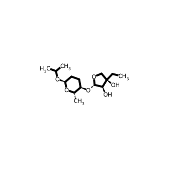 CC[C@@]1(O)CO[C@@H](O[C@@H]2CC[C@H](OC(C)C)O[C@H]2C)[C@@H]1O